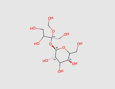 OCO[C@@](CO)(O[C@H]1OC(CO)[C@@H](O)C(O)[C@@H]1O)C(O)CO